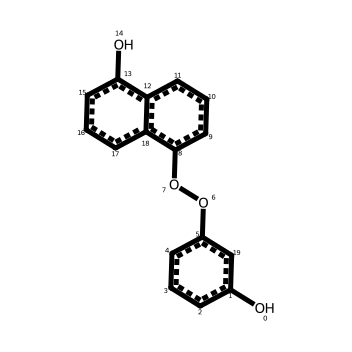 Oc1cccc(OOc2cccc3c(O)cccc23)c1